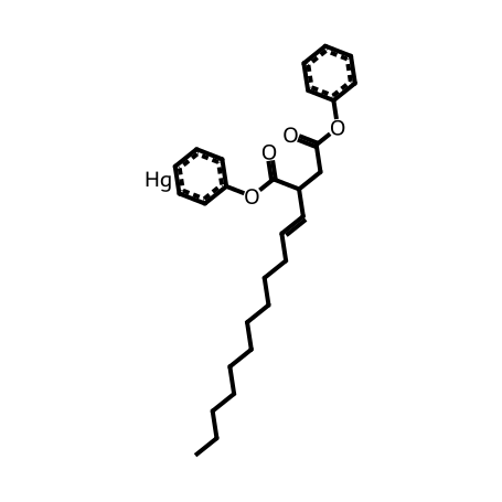 CCCCCCCCCCC=CC(CC(=O)Oc1ccccc1)C(=O)Oc1ccccc1.[Hg]